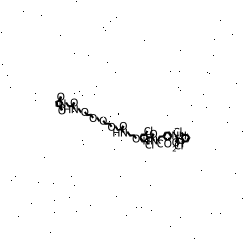 O=C(CCOCCOCCOCCOCCNC(=O)CCN1C(=O)C=CC1=O)NCCCOc1cc(Cl)c(C(=O)N[C@@H](Cc2ccc(NC(=O)c3c(Cl)cccc3Cl)cc2)C(=O)O)c(Cl)c1